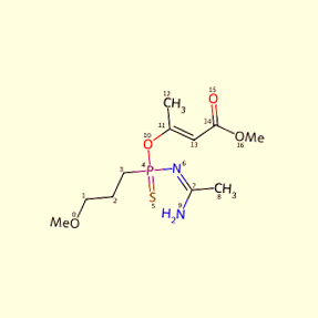 COCCCP(=S)(N=C(C)N)OC(C)=CC(=O)OC